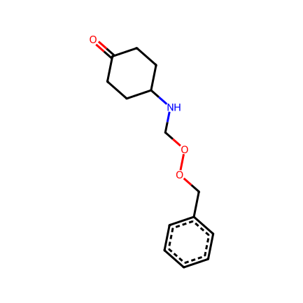 O=C1CCC(NCOOCc2ccccc2)CC1